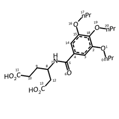 CCCOc1cc(C(=O)NC(CCC(=O)O)CC(=O)O)cc(OCCC)c1OCCC